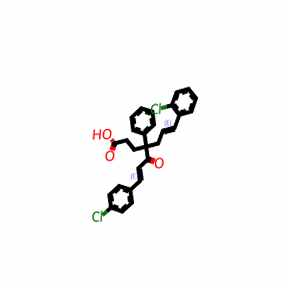 O=C(O)CCC(C/C=C/c1ccccc1Cl)(C(=O)/C=C/c1ccc(Cl)cc1)c1ccccc1